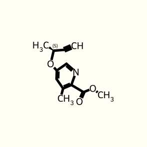 C#C[C@H](C)Oc1cnc(C(=O)OC)c(C)c1